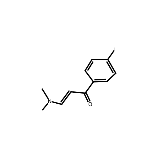 CN(C)C=CC(=O)c1ccc(I)cc1